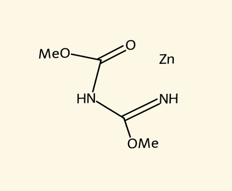 COC(=N)NC(=O)OC.[Zn]